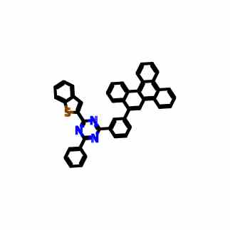 c1ccc(-c2nc(-c3cccc(-c4cc5c6ccccc6c6ccccc6c5c5ccccc45)c3)nc(-c3cc4ccccc4s3)n2)cc1